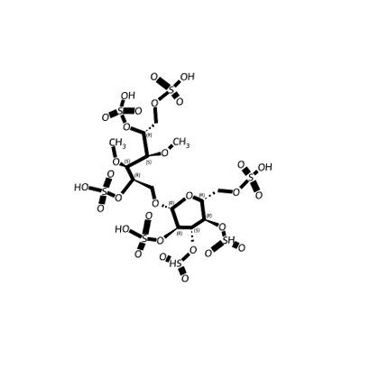 CO[C@@H]([C@H](OC)[C@@H](COS(=O)(=O)O)OS(=O)(=O)O)[C@@H](CO[C@@H]1O[C@H](COS(=O)(=O)O)[C@@H](O[SH](=O)=O)[C@H](O[SH](=O)=O)[C@H]1OS(=O)(=O)O)OS(=O)(=O)O